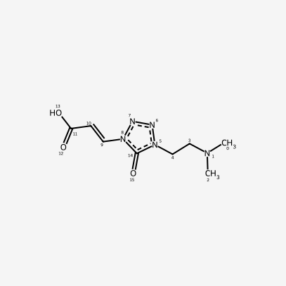 CN(C)CCn1nnn(C=CC(=O)O)c1=O